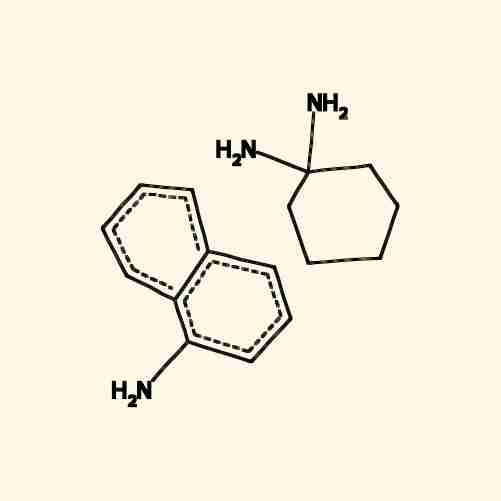 NC1(N)CCCCC1.Nc1cccc2ccccc12